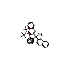 CC(C)(C)P(C[C]12[CH]3[CH]4[CH]5[C]1(C(P)(c1ccc6ccccc6n1)c1ccc6ccccc6n1)[Fe]43521678[CH]2[CH]1[CH]6[CH]7[CH]28)C(C)(C)C